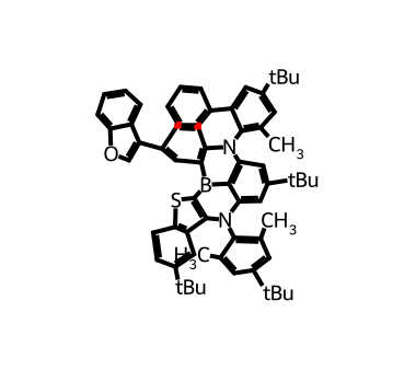 Cc1cc(C(C)(C)C)cc(C)c1N1c2cc(C(C)(C)C)cc3c2B(c2cc(-c4coc5ccccc45)ccc2N3c2c(C)cc(C(C)(C)C)cc2-c2ccccc2)c2sc3ccc(C(C)(C)C)cc3c21